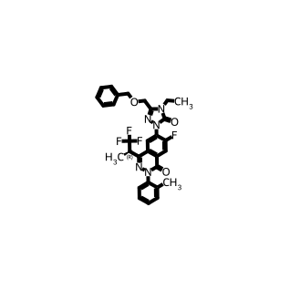 CCn1c(COCc2ccccc2)nn(-c2cc3c([C@@H](C)C(F)(F)F)nn(-c4ccccc4C)c(=O)c3cc2F)c1=O